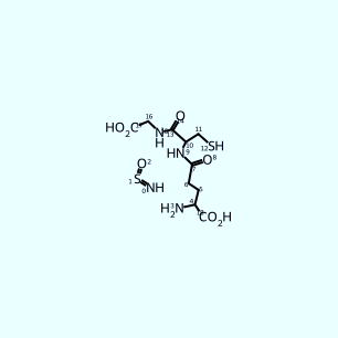 N=S=O.NC(CCC(=O)NC(CS)C(=O)NCC(=O)O)C(=O)O